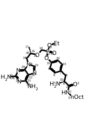 CCCCCCCCNC(=O)[C@@H](N)Cc1ccc(OP(=O)(CO[C@H](C)Cn2cnc3c(N)nc(N)nc32)OCC)cc1